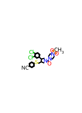 CS(=O)(=O)N1CCN(C(=O)N2CC(CSc3ccc(C#N)cc3)C(c3ccc(Cl)c(Cl)c3)C2)CC1